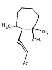 CC(=O)C=C[C@H]1C(C)CCCC1(C)C